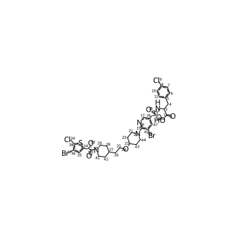 O=C(O)C(Cc1ccc(Cl)cc1)NS(=O)(=O)c1cnc(N2CCC(OCCC3CCN(S(=O)(=O)c4cc(Br)c(Cl)s4)CC3)CC2)c(Br)c1